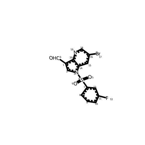 O=Cc1cn(S(=O)(=O)c2cccc(F)c2)c2cc(Br)cnc12